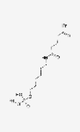 [3H]OP(=O)(O)OCCCCCCNC(=O)CCCC(=O)C(C)C